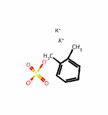 Cc1ccccc1C.O=S(=O)([O-])[O-].[K+].[K+]